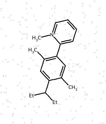 CCC(CC)c1cc(C)c(-c2cccc[n+]2C)cc1C